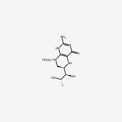 C[C@H](O)[C@H](O)[C@H]1CNc2[nH]c(N)nc(=O)c2N1.Cl.Cl